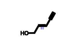 C#C/C=C/CO